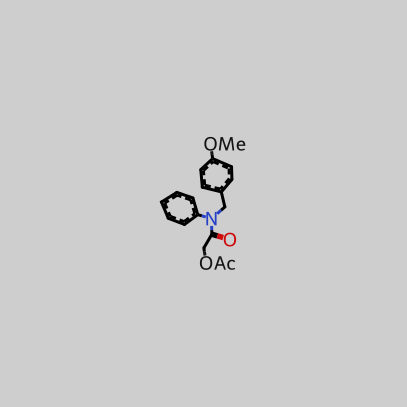 COc1ccc(CN(C(=O)COC(C)=O)c2ccccc2)cc1